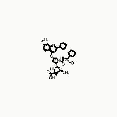 C=CC1C[C@]1(NC(=O)[C@@H]1C[C@@H](Oc2cc(-c3ccccc3)nc3cc(OC)ccc23)CN1C(=O)N[C@@H](CO)c1ccccc1)C(=O)O